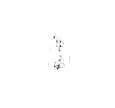 O=C(NC1CCC(Nc2cccc3nc(C(F)F)cn23)CC1)c1cccc2cn[nH]c12